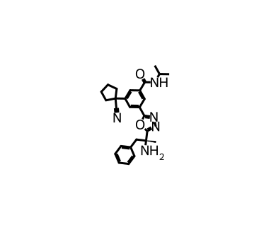 CC(C)NC(=O)c1cc(-c2nnc([C@](C)(N)Cc3ccccc3)o2)cc(C2(C#N)CCCC2)c1